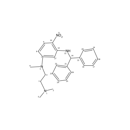 CN(C)CCN(C)c1ccc([N+](=O)[O-])c(NC(c2ccccc2)c2ccccc2)c1